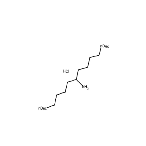 CCCCCCCCCCCCCCC(N)CCCCCCCCCCCCCC.Cl